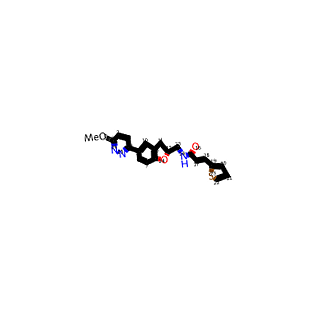 COc1ccc(-c2ccc3c(c2)CC(CNC(=O)/C=C/c2cccs2)O3)nn1